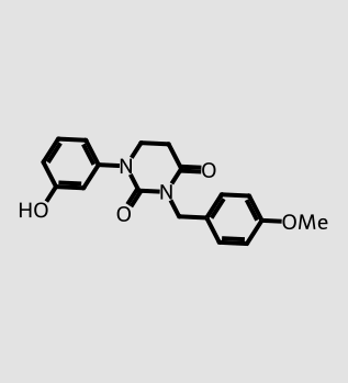 COc1ccc(CN2C(=O)CCN(c3cccc(O)c3)C2=O)cc1